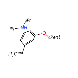 C=Cc1cccc(OCCCCC)c1.CC(C)NC(C)C